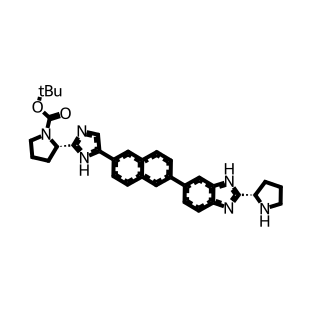 CC(C)(C)OC(=O)N1CCC[C@H]1c1ncc(-c2ccc3cc(-c4ccc5nc([C@@H]6CCCN6)[nH]c5c4)ccc3c2)[nH]1